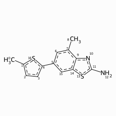 Cc1ccc(-c2cc(C)c3nc(N)sc3c2)s1